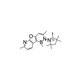 CB1c2c(oc3nc(C)ccc23)C=C(C)N1N1[C@@H](C)C(C)(C)CC1(C)C